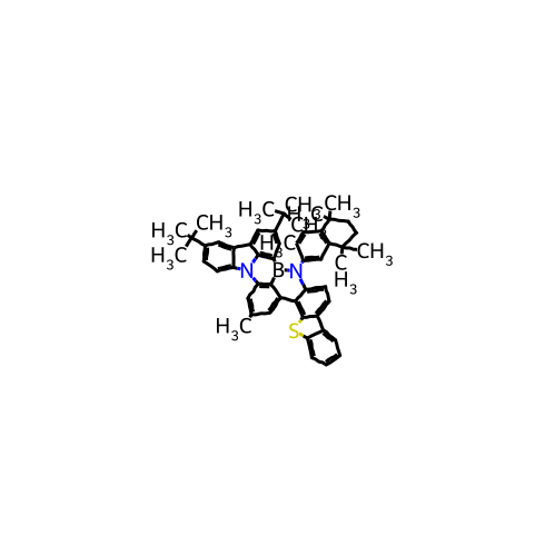 Cc1cc2c3c(c1)-n1c4ccc(C(C)(C)C)cc4c4cc(C(C)(C)C)cc(c41)B3N(c1cc3c(cc1C)C(C)(C)CCC3(C)C)c1ccc3c(sc4ccccc43)c1-2